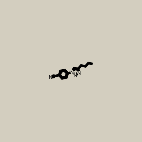 CCCCc1cn(-c2ccc(C#N)cc2)nn1